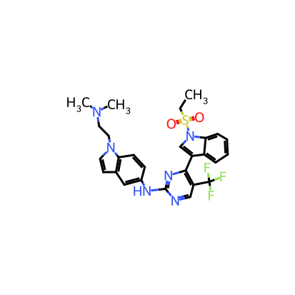 CCS(=O)(=O)n1cc(-c2nc(Nc3ccc4c(ccn4CCN(C)C)c3)ncc2C(F)(F)F)c2ccccc21